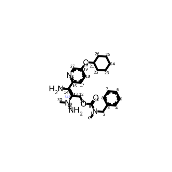 CN(Cc1ccccc1)C(=O)OC/C(=C(/N)c1ccc(OC2CCCCC2)cn1)N(C)N